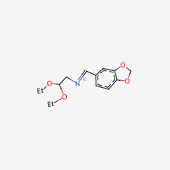 CCOC(C/N=C/c1ccc2c(c1)OCO2)OCC